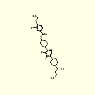 CCCC(O)C1CCC(c2ccc(C3CCC(OC(=O)c4ccc(OCC)c(F)c4)CC3)c(F)c2F)CC1